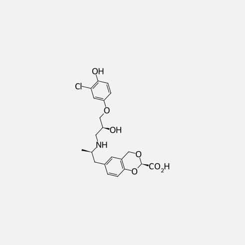 C[C@H](Cc1ccc2c(c1)CO[C@@H](C(=O)O)O2)NC[C@H](O)COc1ccc(O)c(Cl)c1